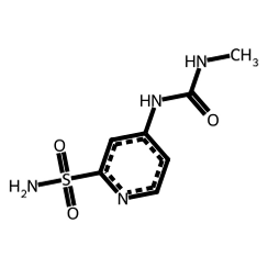 CNC(=O)Nc1ccnc(S(N)(=O)=O)c1